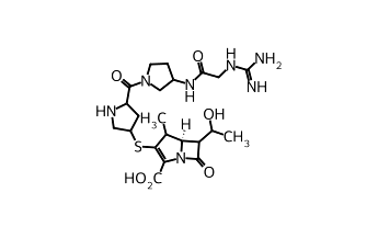 CC(O)C1C(=O)N2C(C(=O)O)=C(SC3CNC(C(=O)N4CCC(NC(=O)CNC(=N)N)C4)C3)C(C)[C@@H]12